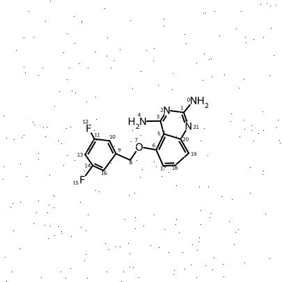 Nc1nc(N)c2c(OCc3cc(F)cc(F)c3)cccc2n1